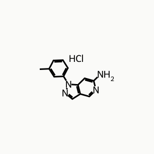 Cc1cccc(-n2ncc3cnc(N)cc32)c1.Cl